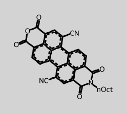 CCCCCCCCN1C(=O)c2ccc3c4c(C#N)cc5c6c(ccc(c7c(C#N)cc(c2c37)C1=O)c64)C(=O)OC5=O